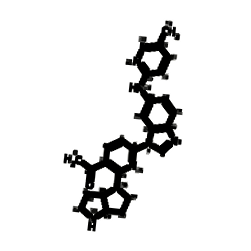 CC(=O)c1ccc(-n2cnc3ccc(Nc4ccc(C)nn4)cc32)nc1N1CCC2NCCC21